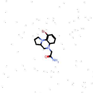 NC(=O)CN1CC2CCCN2C2=C(Br)C=CCC21